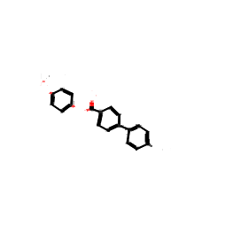 CCCCCCCCc1ccc(-c2ccc(C(=O)Oc3ccc(OCCCCCCC)cc3)cc2)cc1